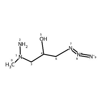 CN(N)CC(O)CN=[N+]=[N-]